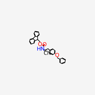 N#C[C@H](Cc1ccc(OCc2ccccc2)cc1)NC(=O)OCC1c2ccccc2-c2ccccc21